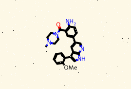 COc1ccccc1-c1c[nH]c2ncc(-c3ccc(N)c(C(=O)N4CCN(C)CC4)c3)cc12